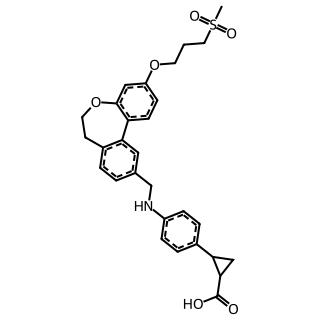 CS(=O)(=O)CCCOc1ccc2c(c1)OCCc1ccc(CNc3ccc(C4CC4C(=O)O)cc3)cc1-2